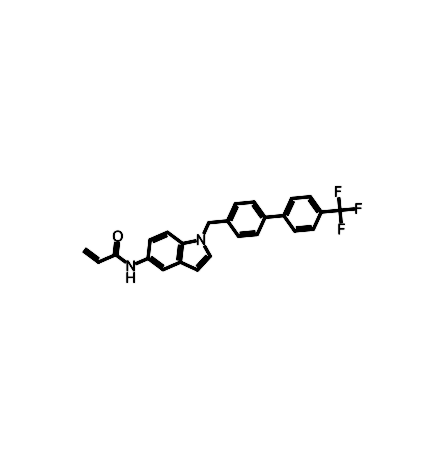 C=CC(=O)Nc1ccc2c(ccn2Cc2ccc(-c3ccc(C(F)(F)F)cc3)cc2)c1